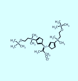 C[C](C)=[Zr+2]([C]1=CC([Si](C)(C)CCO[Si](C)(C)C)=CC1)[C]1=CC([Si](C)(C)CCO[Si](C)(C)C)=CC1.[Cl-].[Cl-]